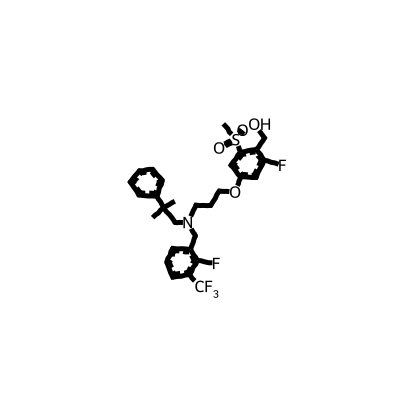 CC(C)(CN(CCCOc1cc(F)c(CO)c(S(C)(=O)=O)c1)Cc1cccc(C(F)(F)F)c1F)c1ccccc1